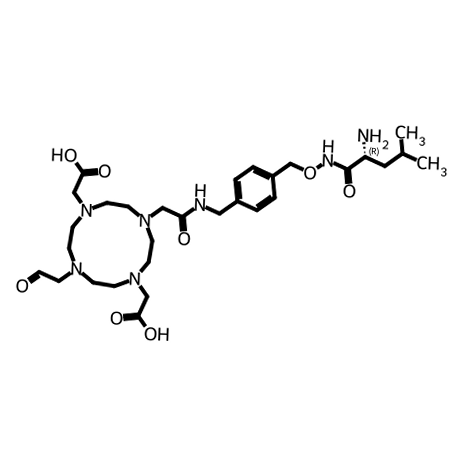 CC(C)C[C@@H](N)C(=O)NOCc1ccc(CNC(=O)CN2CCN(CC(=O)O)CCN(CC=O)CCN(CC(=O)O)CC2)cc1